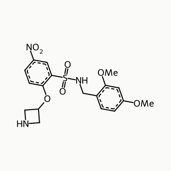 COc1ccc(CNS(=O)(=O)c2cc([N+](=O)[O-])ccc2OC2CNC2)c(OC)c1